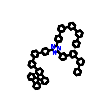 c1ccc(-c2cccc(-c3cccc(-c4cccc(-c5ccc(-c6nc(-c7ccc(-c8cccc(-c9cccc(-c%10ccc%11c(c%10)C%10(c%12ccccc%12-c%12ccccc%12%10)c%10ccccc%10-%11)c9)c8)cc7)nc(-c7cccc(-c8cccc(-c9cccc(-c%10ccccc%10)c9)c8)c7)n6)cc5)c4)c3)c2)cc1